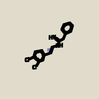 N=C(Cc1ccccc1)N/C=C/c1ccc(Cl)c(Cl)c1